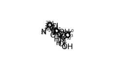 Cc1ccc([C@H](CC(=O)O)NC(=O)Nc2c(O)ccn(Cc3c(Cl)cccc3C#N)c2=O)cc1